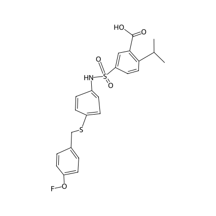 CC(C)c1ccc(S(=O)(=O)Nc2ccc(SCc3ccc(OF)cc3)cc2)cc1C(=O)O